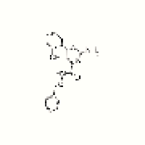 Nc1nc(C(=O)NOCc2ccccc2)cc(-c2ccccc2O)n1